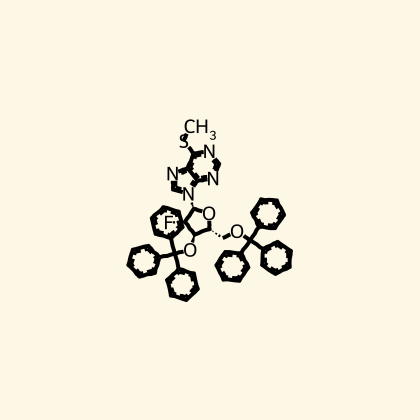 CSc1ncnc2c1ncn2[C@@H]1O[C@H](COC(c2ccccc2)(c2ccccc2)c2ccccc2)[C@@H](OC(c2ccccc2)(c2ccccc2)c2ccccc2)[C@@H]1F